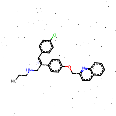 N#CCCNC/C(=C/c1ccc(Cl)cc1)c1ccc(OCc2ccc3ccccc3n2)cc1